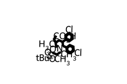 CC(CS(=O)(=O)C(C)(C)C)C(C)N1C(=O)C(C)(CC(=O)O)CC(c2cccc(Cl)c2)C1c1ccc(Cl)cc1